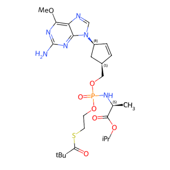 COc1nc(N)nc2c1ncn2[C@H]1C=C[C@@H](COP(=O)(N[C@@H](C)C(=O)OC(C)C)OCCSC(=O)C(C)(C)C)C1